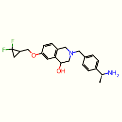 C[C@H](N)c1ccc(CN2Cc3ccc(OCC4CC4(F)F)cc3C(O)C2)cc1